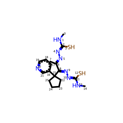 CN/C(S)=N/N=C(C)/C(=N/N=C(\S)NC)C1(c2cccnc2)CCCC1